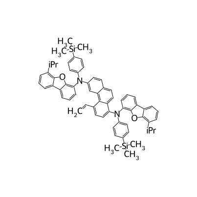 C=Cc1ccc(N(c2ccc([Si](C)(C)C)cc2)c2cccc3c2oc2c(C(C)C)cccc23)c2ccc3ccc(N(c4ccc([Si](C)(C)C)cc4)c4cccc5c4oc4c(C(C)C)cccc45)cc3c12